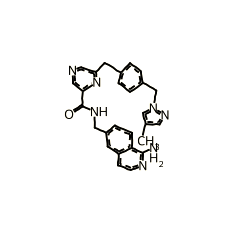 Cc1cnn(Cc2ccc(Cc3cncc(C(=O)NCc4ccc5c(N)nccc5c4)n3)cc2)c1